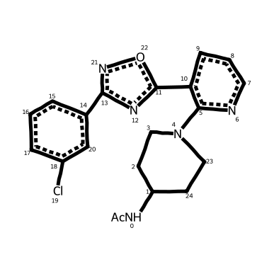 CC(=O)NC1CCN(c2ncccc2-c2nc(-c3cccc(Cl)c3)no2)CC1